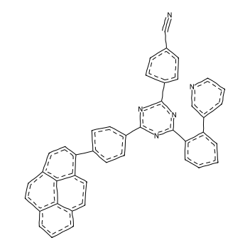 N#Cc1ccc(-c2nc(-c3ccc(-c4ccc5ccc6cccc7ccc4c5c67)cc3)nc(-c3ccccc3-c3cccnc3)n2)cc1